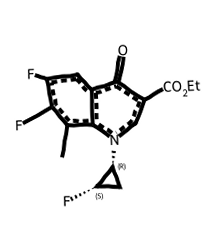 CCOC(=O)c1cn([C@@H]2C[C@@H]2F)c2c(C)c(F)c(F)cc2c1=O